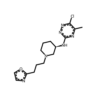 Cc1nc(N[C@@H]2CCCN(CCCc3ncco3)C2)nnc1Cl